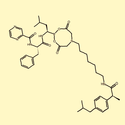 CC(C)Cc1ccc([C@H](C)C(=O)NCCCCCCCN2CC(=O)OB([C@H](CC(C)C)NC(=O)[C@H](Cc3ccccc3)NC(=O)c3cnccn3)OC(=O)C2)cc1